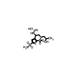 CCCNC1CN(CC(C)O)S(=O)(=O)c2sc(S(N)(=O)=O)cc21.Cl